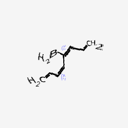 BC(/C=C\C=C)=C/C=C